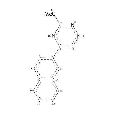 COc1nncc(-c2ccc3ccccc3c2)n1